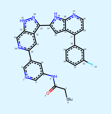 CC(C)(C)CC(=O)Nc1cncc(-c2cc3c(-c4cc5c(-c6cccc(F)c6)ccnc5[nH]4)n[nH]c3cn2)c1